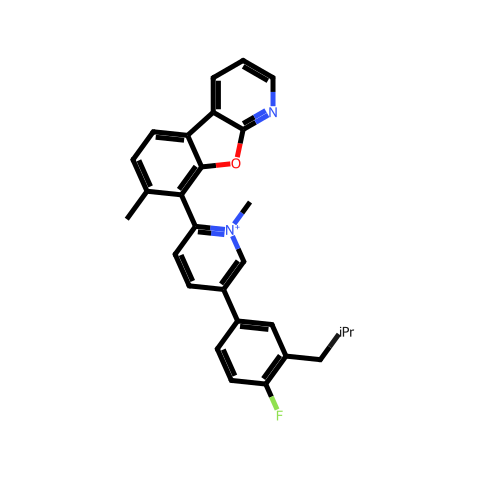 Cc1ccc2c(oc3ncccc32)c1-c1ccc(-c2ccc(F)c(CC(C)C)c2)c[n+]1C